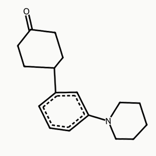 O=C1CCC(c2cccc(N3CCCCC3)c2)CC1